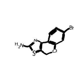 Nc1nc2c(s1)COc1cc(Br)ccc1-2